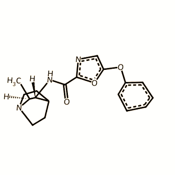 C[C@H]1[C@H](NC(=O)c2ncc(Oc3ccccc3)o2)C2CCN1CC2